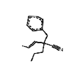 CC=CC(C#N)(CCC)Cc1ccccc1